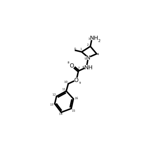 CC1C(N)CN1NC(=O)OCc1ccccc1